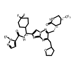 CCn1nccc1C(=O)N[C@H](c1cn2nc(C[C@H]3C[C@@H](C(F)(F)F)CNC3=O)c(CC3CCCO3)nc2n1)C1CCC(F)(F)CC1